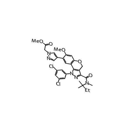 CCC(C)(C)N(C)C(=O)c1nn(-c2cc(Cl)cc(Cl)c2)c2c1COc1cc(OC)c(-c3cnn(CC(=O)OC)c3)cc1-2